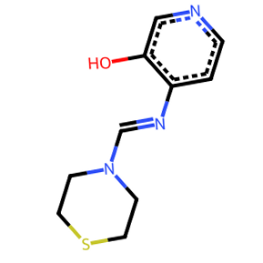 Oc1cnccc1N=CN1CCSCC1